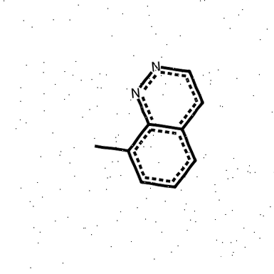 Cc1cccc2ccnnc12